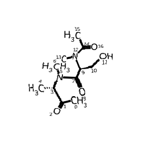 CC(=O)[C@H](C)N(C)C(=O)[C@H](CO)N(C)C(C)=O